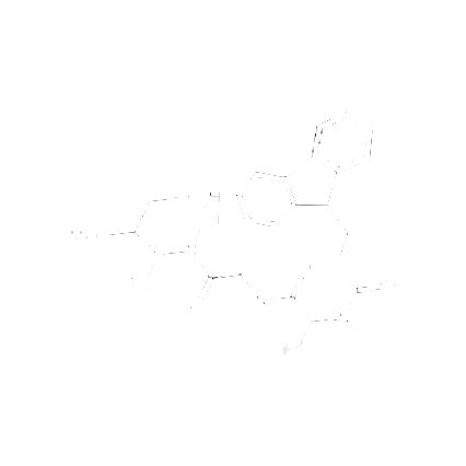 CCC(C)C(C(CC(=O)O)OC)N(C)C(=O)CNC(=O)C(C(C)C)N(C)C(=O)OCC1c2ccccc2-c2ccccc21